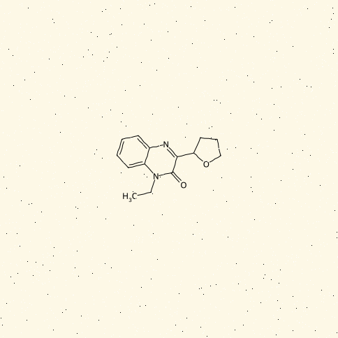 CCn1c(=O)c(C2CCCO2)nc2ccccc21